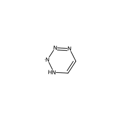 C1=CN[N]N=N1